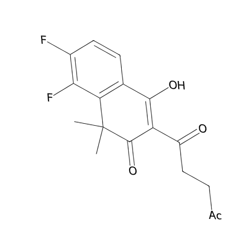 CC(=O)CCC(=O)C1=C(O)c2ccc(F)c(F)c2C(C)(C)C1=O